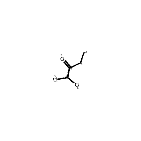 CCC(=O)C(Cl)Cl